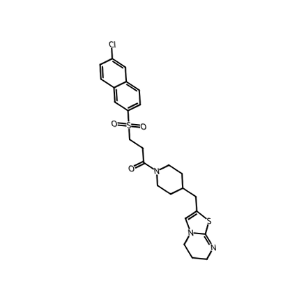 O=C(CCS(=O)(=O)c1ccc2cc(Cl)ccc2c1)N1CCC(CC2=CN3CCCN=C3S2)CC1